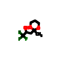 CC1(CC(O)C(F)(F)F)OCCCO1